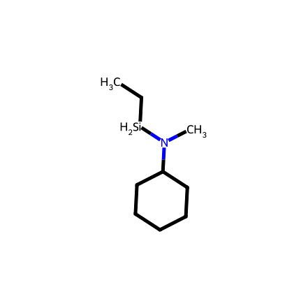 CC[SiH2]N(C)C1CCCCC1